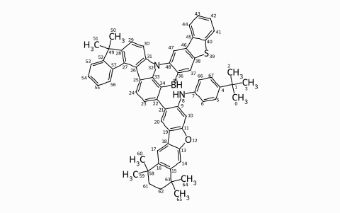 CC(C)(C)c1ccc(Nc2cc3oc4cc5c(cc4c3cc2-c2ccc3c4c6c(ccc4n4c3c2Bc2cc3sc7ccccc7c3cc2-4)C(C)(C)c2ccccc2-6)C(C)(C)CCC5(C)C)cc1